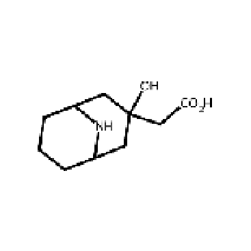 O=C(O)CC1(O)CC2CCCC(C1)N2